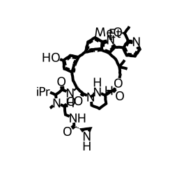 CCn1c(-c2cccnc2[C@H](C)OC)c2c3cc(ccc31)-c1cc(O)cc(c1)C[C@H](NC(=O)C(C(C)C)N(C)C(=O)CNC(=O)[C@@H]1CN1)C(=O)N1CCC[C@H](N1)C(=O)OCC(C)(C)C2